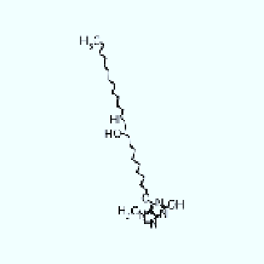 CCCCCCCCCCCCNCC(O)CCCCCCCCCOc1nc(O)nc2ncn(C)c12